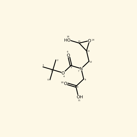 CC(C)(C)OC(=O)N(CC(=O)O)CC1OC1O